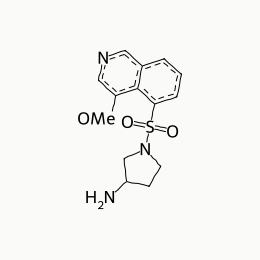 COc1cncc2cccc(S(=O)(=O)N3CCC(N)C3)c12